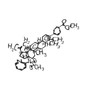 C=C(C)[C@@H]1CC[C@]2(N(c3ccccn3)S(C)(=O)=O)CC[C@]3(C)[C@H](CC[C@@H]4[C@@]5(C)CC=C(c6ccc(C(=O)OC)cc6)C(C)(C)[C@@H]5CC[C@]43C)[C@@H]12